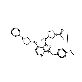 COc1ccc(Cn2nc(NC3CCN(C(=O)OC(C)(C)C)C3)c3c(O[C@H]4CCN(c5ccccc5)C4)ccnc32)cc1